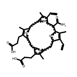 C=CC1=C(C)c2nc1cc1[nH]c(cc3nc(cc4[nH]c(c(C=C)c4C)c2C(N)=O)C(C)=C3CCC(=O)O)c(CCC(=O)O)c1C